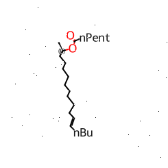 CCCCC=CCCCCCCCCC[C@@H](C)OC(=O)CCCCC